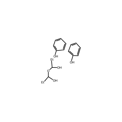 CCC(O)OC(O)CC.Oc1ccccc1.Oc1ccccc1